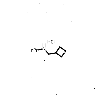 CCCNCC1CCC1.Cl